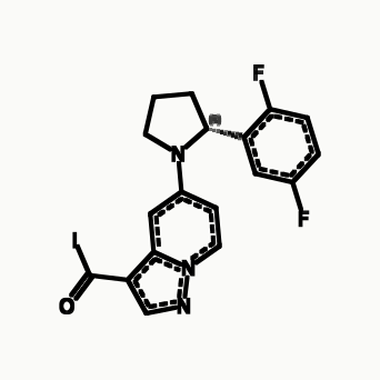 O=C(I)c1cnn2ccc(N3CCC[C@@H]3c3cc(F)ccc3F)cc12